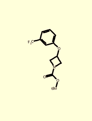 CC(C)(C)OC(=O)N1CC(Oc2cccc(C(F)(F)F)c2)C1